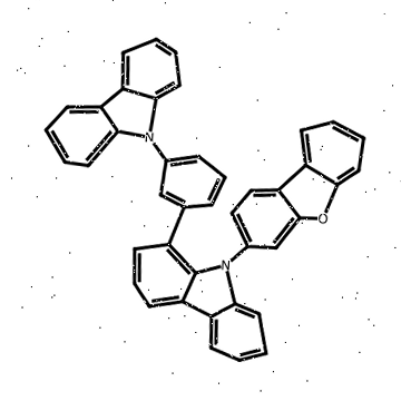 c1cc(-c2cccc3c4ccccc4n(-c4ccc5c(c4)oc4ccccc45)c23)cc(-n2c3ccccc3c3ccccc32)c1